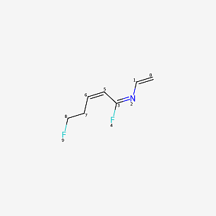 C=C/N=C(F)\C=C/CCF